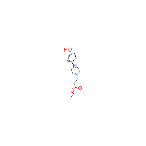 CCOC(=O)CCN1CCN(c2ccc(O)cc2)CC1